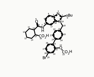 CCCCc1nc2ccc(NC(=O)C3CCCCC3C(=O)O)cc2n1Cc1ccc(-c2ccc(Br)cc2OC(=O)O)cc1